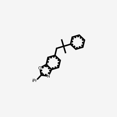 CC(C)c1nc2ccc(CC(C)(C)c3ccccc3)cc2o1